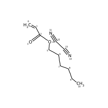 C=CC(=O)OCCCCCC.N#CC#N